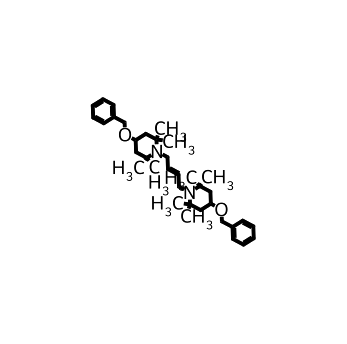 CC1(C)CC(OCc2ccccc2)CC(C)(C)N1C/C=C/CN1C(C)(C)CC(OCc2ccccc2)CC1(C)C